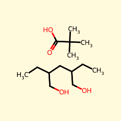 CC(C)(C)C(=O)O.CCC(CO)CC(CC)CO